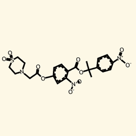 CC(C)(OC(=O)c1ccc(OC(=O)CN2CCS(=O)(=O)CC2)cc1[N+](=O)[O-])c1ccc([N+](=O)[O-])cc1